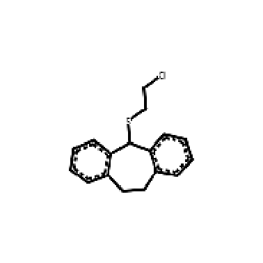 ClCCSC1c2ccccc2CCc2ccccc21